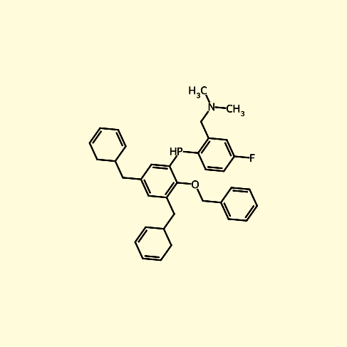 CN(C)Cc1cc(F)ccc1Pc1cc(CC2C=CC=CC2)cc(CC2C=CC=CC2)c1OCc1ccccc1